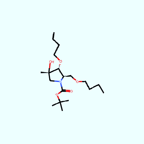 CCCCOC[C@@H]1[C@@H](OCCCC)[C@@](C)(O)CN1C(=O)OC(C)(C)C